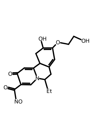 CCC1CC2=CC(OCCO)=C(O)CC2c2cc(=O)c(C(=O)N=O)cn21